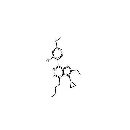 CCCCc1nnc(-c2ccc(OC)cc2Cl)c2nc(CC)n(C3CC3)c12